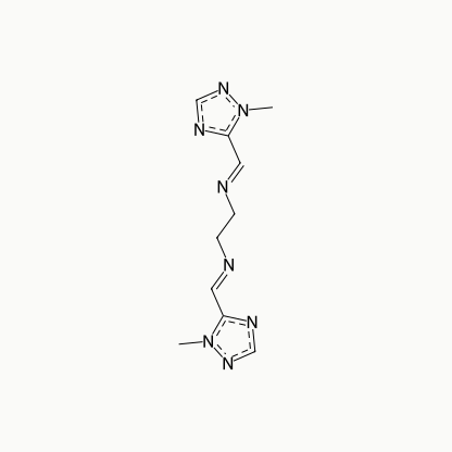 Cn1ncnc1C=NCCN=Cc1ncnn1C